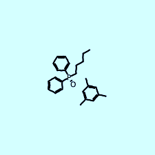 CCCCCP(=O)(c1ccccc1)c1ccccc1.Cc1cc(C)cc(C)c1